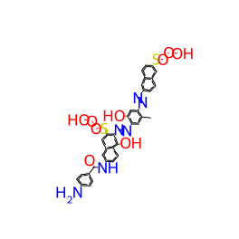 Cc1cc(N=Nc2c(SOOO)cc3cc(NC(=O)c4ccc(N)cc4)ccc3c2O)c(O)cc1N=Nc1ccc2cc(SOOO)ccc2c1